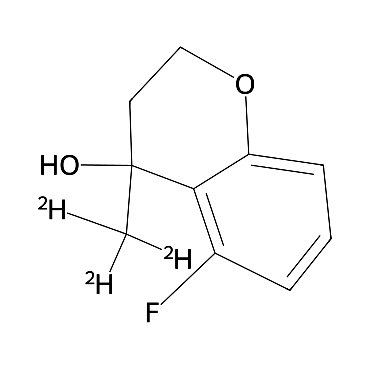 [2H]C([2H])([2H])C1(O)CCOc2cccc(F)c21